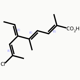 C/C=C(\C=C(/C)Cl)C(/C)=C/C=C(\C)C(=O)O